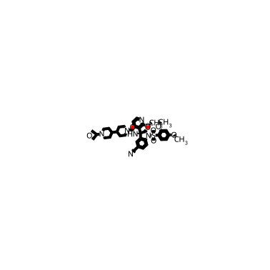 COc1ccc(S(=O)(=O)N2C(=O)[C@@](NC(=O)N3CCC(C4CCN(C5COC5)CC4)CC3)(c3cccnc3OC)c3cc(C#N)ccc32)c(OC)c1